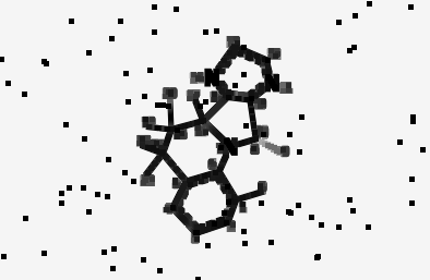 Cc1cccc2c1N1[C@@H](C)c3nccnc3C1(C)C(C)(C)C2(C)C